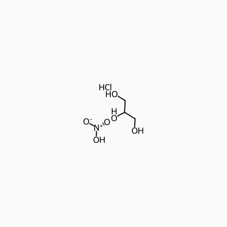 Cl.O=[N+]([O-])O.OCC(O)CO